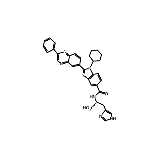 O=C(N[C@@H](Cc1c[nH]cn1)C(=O)O)c1ccc2c(c1)nc(-c1ccc3nc(-c4ccccc4)cnc3c1)n2C1CCCCC1